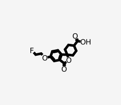 O=C1OC2(CCC(C(=O)O)CC2)c2ccc(OCCF)cc21